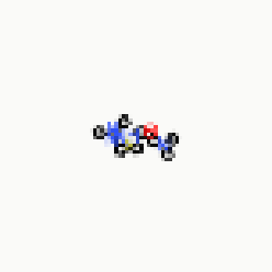 c1ccc(C2=NC(c3cccc4c3sc3c(-c5cccc6oc7cc(-n8c9ccccc9c9ccccc98)ccc7c56)cccc34)NC(c3ccccc3)=N2)cc1